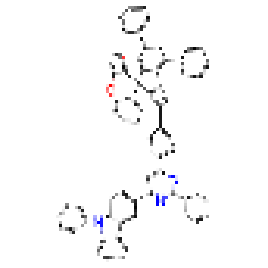 c1ccc(-c2cc(-c3ccccc3)c3c(c2)C2(c4ccccc4Oc4ccccc42)c2cc(-c4ccc(-c5cc(-c6ccc7c(c6)c6ccccc6n7-c6ccccc6)nc(-c6ccccc6)n5)cc4)ccc2-3)cc1